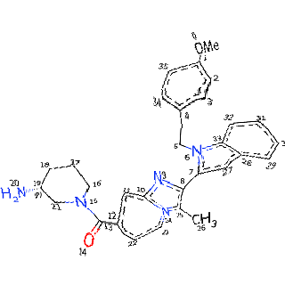 COc1ccc(Cn2c(-c3nc4cc(C(=O)N5CCC[C@@H](N)C5)ccn4c3C)cc3ccccc32)cc1